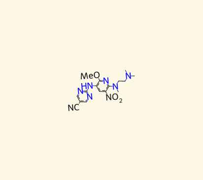 COc1nc(N(C)CCN(C)C)c([N+](=O)[O-])cc1Nc1ncc(C#N)cn1